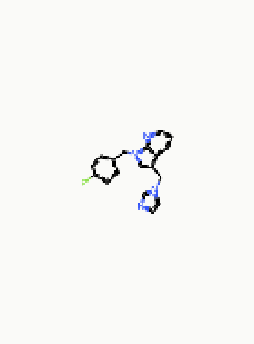 Fc1ccc(Cn2cc(Cn3ccnc3)c3cccnc32)cc1